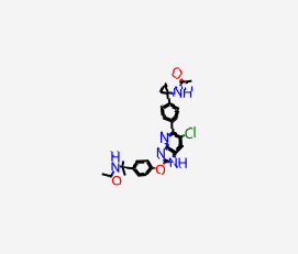 CC(=O)NC(C)(C)c1ccc(Oc2nc3nc(-c4ccc(C5(NC(C)=O)CC5)cc4)c(Cl)cc3[nH]2)cc1